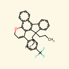 CCCC1(CCC)c2ccccc2-c2c1c1c(c3ccccc23)OCC=C1c1ccc(C(F)(F)F)cc1